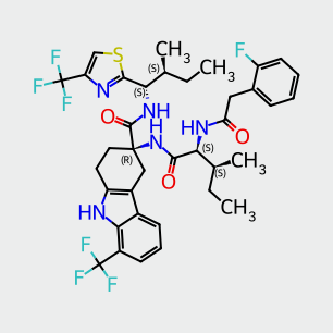 CC[C@H](C)[C@H](NC(=O)Cc1ccccc1F)C(=O)N[C@]1(C(=O)N[C@H](c2nc(C(F)(F)F)cs2)[C@@H](C)CC)CCc2[nH]c3c(C(F)(F)F)cccc3c2C1